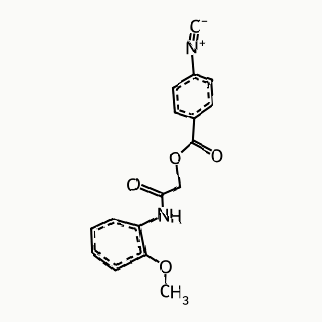 [C-]#[N+]c1ccc(C(=O)OCC(=O)Nc2ccccc2OC)cc1